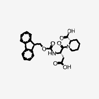 O=C(O)C[C@H](NC(=O)OCC1c2ccccc2-c2ccccc21)C(=O)N1CCCC[C@H]1C(=O)O